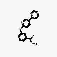 COC(=O)c1cccc(Nc2ccc(-c3ccncn3)cn2)c1